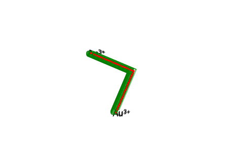 [Au+3].[Au+3].[Au+3].[Au+3].[Cl-].[Cl-].[Cl-].[Cl-].[Cl-].[Cl-].[Cl-].[Cl-].[Cl-].[Cl-].[Cl-].[Cl-].[Cl-].[Cl-].[Cl-].[Cl-].[Cl-].[Cl-].[Cl-].[Cl-].[Cl-].[Cl-].[Cl-].[Cl-].[Cl-].[Cl-].[Cl-].[Cl-].[Cl-].[Cl-].[Cl-].[Cl-].[Cl-].[Cl-].[Cl-].[Cl-].[Cl-].[Cl-].[Cl-].[Cl-].[Cl-].[Cl-].[Cl-].[Cl-].[Cl-].[Cl-].[Cl-].[Cl-].[Cl-].[Cl-].[Cl-].[Cl-].[Cl-].[Cl-].[Cl-].[Cl-].[Cl-].[Cl-].[Cl-].[Cl-].[Cl-].[Cl-].[Cl-].[Cl-].[Cl-].[Cl-].[Cl-].[Cl-].[Cl-].[Cl-].[Cl-].[Cl-].[Cl-].[Cl-].[Cl-].[Cl-].[Cl-].[Cl-].[Cl-].[Cl-].[Cl-].[Cl-].[Cl-].[Cl-].[Cl-].[Cl-].[Cl-].[Cl-].[Cl-].[Cl-].[Cl-].[Cl-]